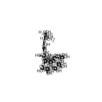 CC(=O)N(Cc1cn(CC(O)COCCC[SiH](O[Si](C)(C)C)O[Si](C)(C)C)nn1)[C@@H]1O[C@@H](CO)[C@@H](O[C@@H]2OC(CO[C@H]3OC[C@@H](O)[C@H](O)C3OC3OC(CO)[C@H](O)[C@H](O)[C@@H]3O)[C@@H](O[C@@H]3O[C@@H](CO[C@@H]4OC[C@H](O)C(O)C4O[C@@H]4OC(CO)[C@H](O)[C@H](O)C4O)[C@@H](O[C@@H]4OC(CO[C@H]5OC[C@@H](O)[C@H](O)C5O)[C@@H](O)[C@H](O)C4O)C(O)C3O)[C@H](O)C2O)C(O)C1O